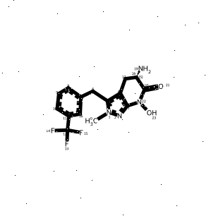 Cn1nc2c(c1Cc1cccc(C(F)(F)F)c1)C[C@H](N)C(=O)N2O